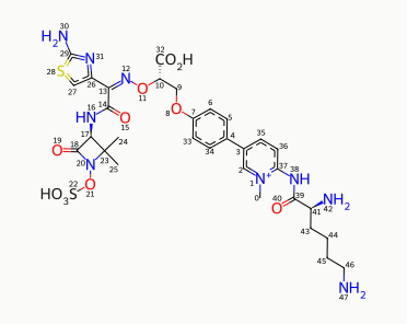 C[n+]1cc(-c2ccc(OC[C@H](O/N=C(\C(=O)N[C@@H]3C(=O)N(OS(=O)(=O)O)C3(C)C)c3csc(N)n3)C(=O)O)cc2)ccc1NC(=O)[C@@H](N)CCCCN